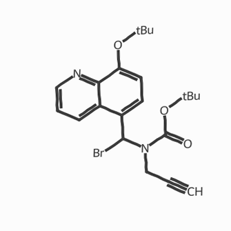 C#CCN(C(=O)OC(C)(C)C)C(Br)c1ccc(OC(C)(C)C)c2ncccc12